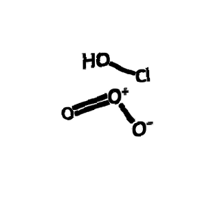 O=[O+][O-].OCl